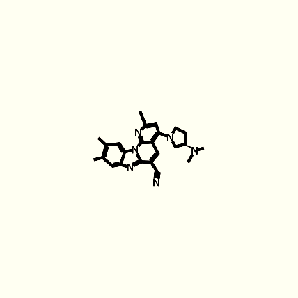 Cc1cc(N2CC[C@H](N(C)C)C2)c2cc(C#N)c3nc4cc(C)c(C)cc4n3c2n1